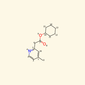 Cc1ccnc(CC(=O)OC2CCCCC2)c1